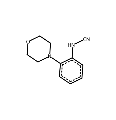 N#CNc1ccccc1N1CCOCC1